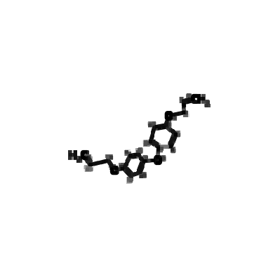 C=CCOc1ccc(Oc2ccc(OCC=C)cc2)cc1